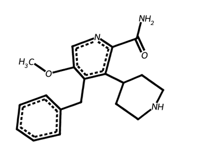 COc1cnc(C(N)=O)c(C2CCNCC2)c1Cc1ccccc1